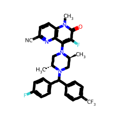 C[C@@H]1CN(c2c(F)c(=O)n(C)c3ccc(C#N)nc23)[C@@H](C)CN1C(c1ccc(F)cc1)c1ccc(C(F)(F)F)cc1